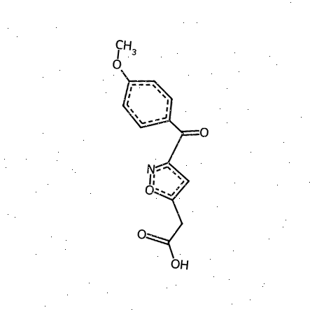 COc1ccc(C(=O)c2cc(CC(=O)O)on2)cc1